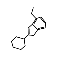 CCc1cccc2c1C=C(C1CCCCC1)C2